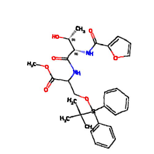 COC(=O)C(CO[Si](c1ccccc1)(c1ccccc1)C(C)(C)C)NC(=O)[C@@H](NC(=O)c1ccco1)[C@@H](C)O